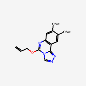 C=CCOc1nc2cc(OC)c(OC)cc2c2nncn12